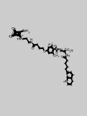 Cc1cc(OCCCC(=O)NCCNc2c(N)c(=O)c2=O)cc(C)c1S(=O)(=O)NCC(NC(=O)CCCCc1ccc2c(n1)NCCC2)C(=O)O